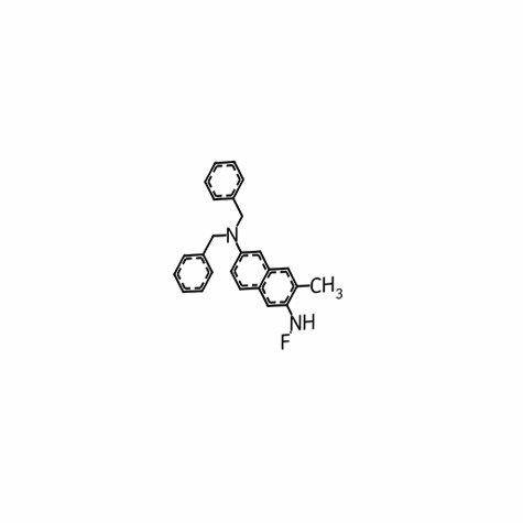 Cc1cc2cc(N(Cc3ccccc3)Cc3ccccc3)ccc2cc1NF